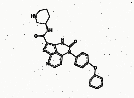 O=C(N[C@@H]1CCCNC1)c1sc2nccc3c2c1NC(=O)N3c1ccc(Oc2ccccc2)cc1